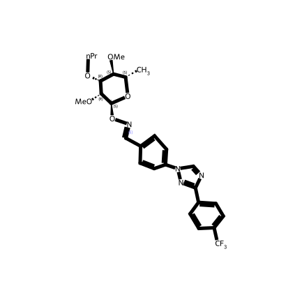 CCCO[C@@H]1[C@@H](OC)[C@H](C)O[C@@H](O/N=C/c2ccc(-n3cnc(-c4ccc(C(F)(F)F)cc4)n3)cc2)[C@@H]1OC